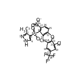 Cc1n[nH]cc1S(=O)(=O)c1cc(Oc2c(Cl)cc(C(F)(F)F)cc2Cl)ccc1[N+](=O)[O-]